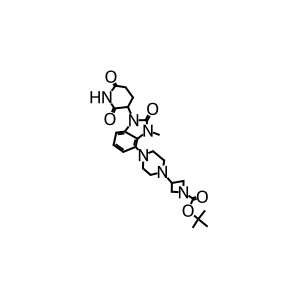 Cn1c(=O)n(C2CCC(=O)NC2=O)c2cccc(N3CCN(C4CN(C(=O)OC(C)(C)C)C4)CC3)c21